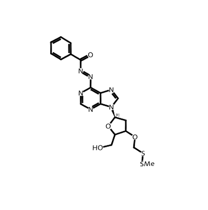 CSSCOC1C[C@H](n2cnc3c(N=NC(=O)c4ccccc4)ncnc32)OC1CO